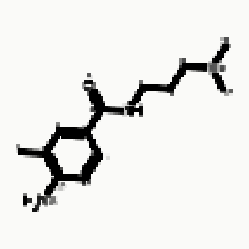 Cc1cc(C(=O)NCCCN(C)C)ccc1N